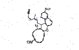 C#C/C=C\C(C)=C/CC1c2c(CC)ccc(N=O)ccccc2Oc2ccc3cc(N=O)ccc3c21